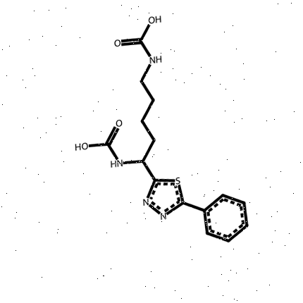 O=C(O)NCCCCC(NC(=O)O)c1nnc(-c2ccccc2)s1